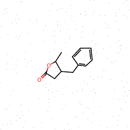 CC1OC(=O)CC1Cc1ccccc1